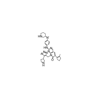 CC1=C(c2cc3cnc(Nc4ccc(N(C)C5CCCNC5)cc4)nc3n(Cc3nnn(C)c3C3CCNC3)c2=O)CCC1